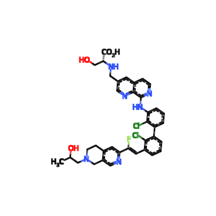 CC(O)CN1CCc2cc(/C(F)=C/c3cccc(-c4cccc(Nc5nccc6cc(CN[C@H](CO)C(=O)O)cnc56)c4Cl)c3Cl)ncc2C1